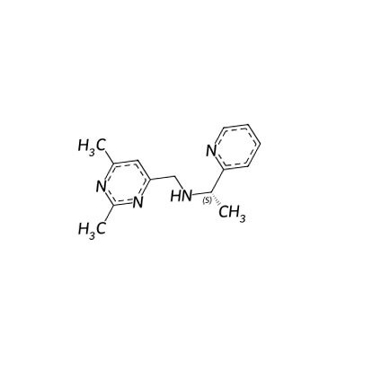 Cc1cc(CN[C@@H](C)c2ccccn2)nc(C)n1